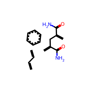 C=C(CC(=C)C(N)=O)C(N)=O.C=CC=C.c1ccccc1